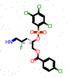 N=C[C@@H](F)C[C@@H](COC(=O)c1ccc(Cl)cc1)OS(=O)(=O)c1cc(Cl)c(Cl)cc1Cl